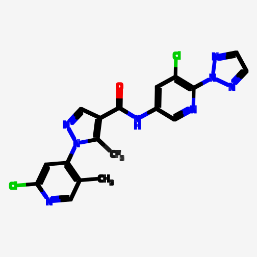 Cc1cnc(Cl)cc1-n1ncc(C(=O)Nc2cnc(-n3nccn3)c(Cl)c2)c1C(F)(F)F